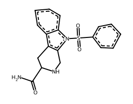 NC(=O)C1Cc2c(n(S(=O)(=O)c3ccccc3)c3ccccc23)CN1